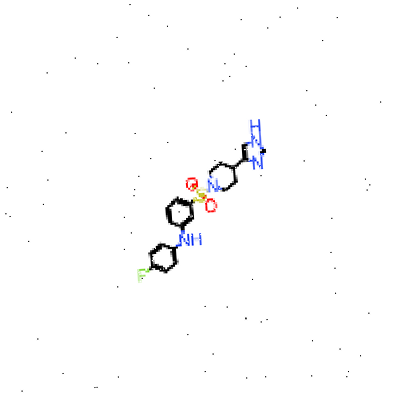 O=S(=O)(c1cccc(Nc2ccc(F)cc2)c1)N1CCC(c2c[nH]cn2)CC1